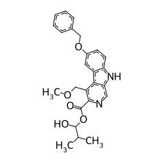 COCc1c(C(=O)OC(O)C(C)C)ncc2[nH]c3ccc(OCc4ccccc4)cc3c12